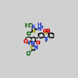 CN1c2ccccc2S(=O)(=O)c2ccc(C(CC3CCOCC3)C(=O)Nc3ncc(Cl)s3)cc21.Cl.Nc1ncc(Cl)s1